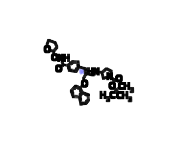 CC(C)(C)OC(=O)N1CCC(NC/C(=C/c2ccc(C(=O)NOC3CCCCO3)cc2)COc2cccc3ccccc23)C1